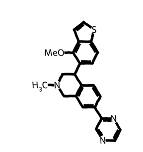 COc1c(C2CN(C)Cc3cc(-c4cnccn4)ccc32)ccc2sccc12